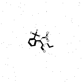 CCC[C@H](C=O)[C@@H](C[N+](=O)[O-])c1ccccc1C(F)(F)F